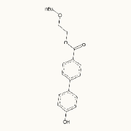 CCCCOCCOC(=O)c1ccc(-c2ccc(O)cc2)cc1